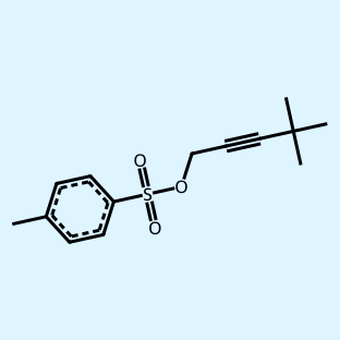 Cc1ccc(S(=O)(=O)OCC#CC(C)(C)C)cc1